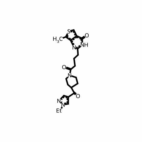 CCn1cc(C(=O)C2CCN(C(=O)CCCc3nc4c(C)scc4c(=O)[nH]3)CC2)cn1